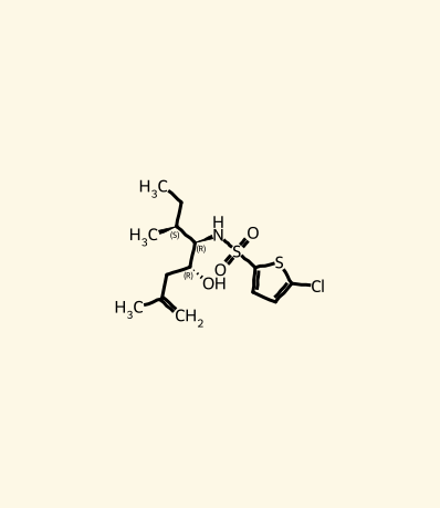 C=C(C)C[C@@H](O)[C@H](NS(=O)(=O)c1ccc(Cl)s1)[C@@H](C)CC